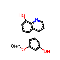 O=COc1cccc(O)c1.Oc1cccc2cccnc12